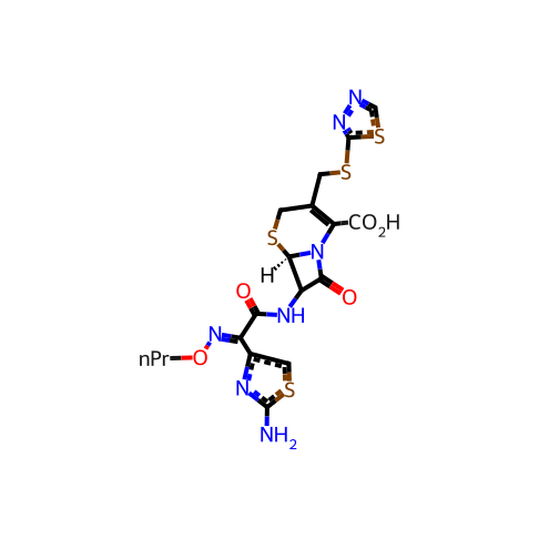 CCCO/N=C(/C(=O)NC1C(=O)N2C(C(=O)O)=C(CSc3nncs3)CS[C@H]12)c1csc(N)n1